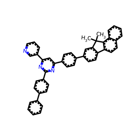 CC1(C)c2cc(-c3ccc(-c4cc(-c5cccnc5)nc(-c5ccc(-c6ccccc6)cc5)n4)cc3)ccc2-c2ccc3ccccc3c21